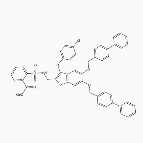 COC(=O)c1ccccc1S(=O)(=O)NCc1sc2cc(OCc3ccc(-c4ccccc4)cc3)c(OCc3ccc(-c4ccccc4)cc3)cc2c1Oc1ccc(Cl)cc1